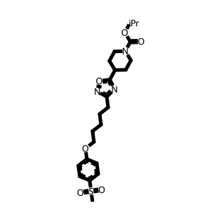 CC(C)OC(=O)N1CCC(c2nc(CCCCCOc3ccc(S(C)(=O)=O)cc3)no2)CC1